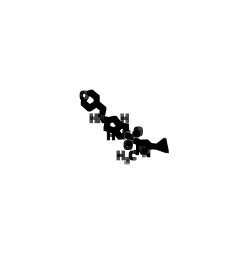 Cn1nc(C2CC2)cc1S(=O)(=O)N1C[C@H]2CC(NCC3CCOCC3)C[C@H]2C1